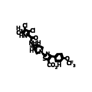 Cc1[nH]c(C(=O)N[C@H]2[C@@H]3CN(c4nc(-c5ccc(OC(F)(F)F)cc5)c(C(=O)O)s4)C[C@@H]32)c(Cl)c1Cl